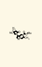 CC1Cn2ncc(N3CC(C)(C#N)CC3=O)c2CN1C(=O)OC(C)(C)C